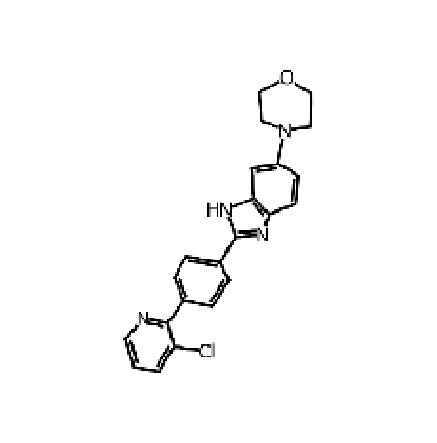 Clc1cccnc1-c1ccc(-c2nc3ccc(N4CCOCC4)cc3[nH]2)cc1